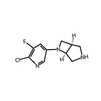 Fc1cc(N2C[C@H]3CNC[C@H]32)cnc1Cl